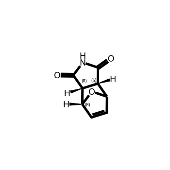 O=C1NC(=O)[C@@H]2C3C=C[C@@H](O3)[C@H]12